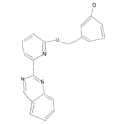 Clc1cccc(COc2cccc(-c3ncc4ccccc4n3)n2)c1